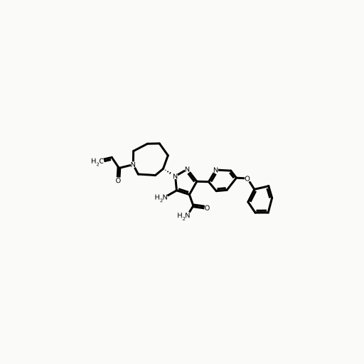 C=CC(=O)N1CCCC[C@H](n2nc(-c3ccc(Oc4ccccc4)cn3)c(C(N)=O)c2N)CC1